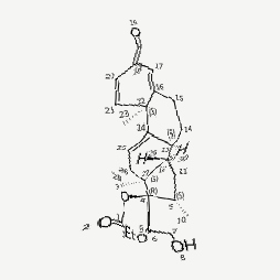 CCC(=O)O[C@]1(C(=O)CO)[C@@H](C)C[C@H]2[C@@H]3CCC4=CC(=O)C=C[C@]4(C)C3=CC[C@@]21C